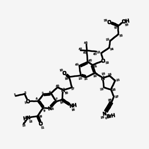 Br.CCOc1cc2c(nc1C(=O)NC)C(=N)N(CC(=O)c1cc(N3CCC(CC#N)C3)c(OCCCCC(=O)O)c(C(C)(C)C)c1)C2